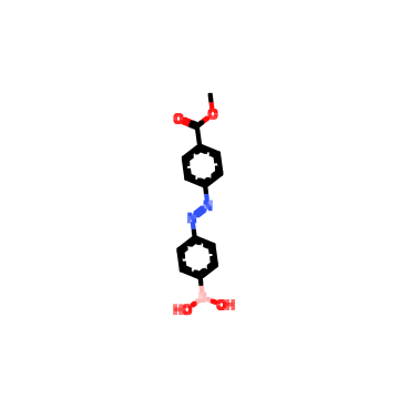 COC(=O)c1ccc(N=Nc2ccc(B(O)O)cc2)cc1